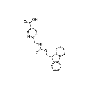 O=C(NCc1ccc(C(=O)O)cn1)OCC1c2ccccc2-c2ccccc21